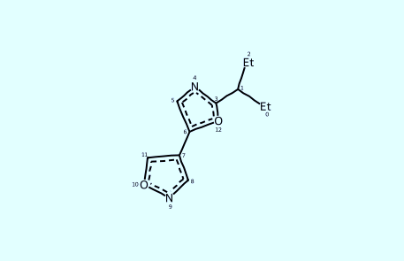 CCC(CC)c1ncc(-c2cnoc2)o1